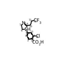 O=C(O)c1ccc([SH]2CCN=C2CCC(F)(F)F)cc1Cl